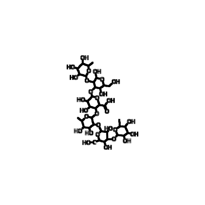 CC1OC(OC2C(O)C(CO)OC(OC3C(OC4C(C(=O)O)OC(OC5C(O)C(CO)OC(O)C5OC5OC(C)C(O)C(O)C5O)C(O)C4O)OC(C)C(O)C3O)C2O)C(O)C(O)C1O